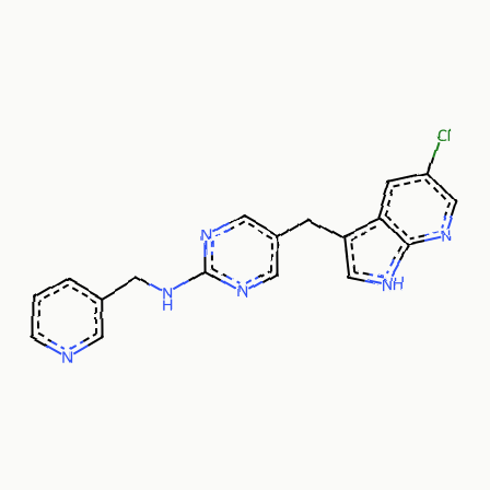 Clc1cnc2[nH]cc(Cc3cnc(NCc4cccnc4)nc3)c2c1